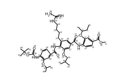 CCC(C)Oc1cc(C(=O)OC)ccc1NC(=O)c1cc(CCCCNC(=N)N)c(NC(=O)c2ccc(NC(=O)OC(C)(C)C)c(OC(C)C)c2)c(OCC(C)C)c1